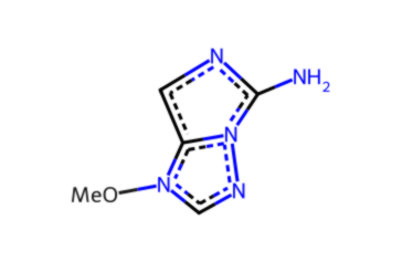 COn1cnn2c(N)ncc12